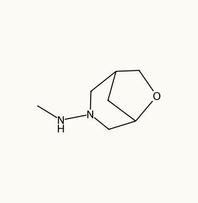 CNN1CC2COC(C2)C1